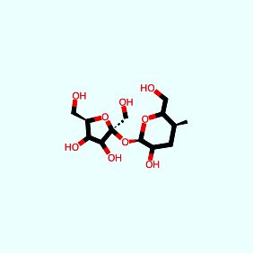 C[C@H]1CC(O)[C@@H](O[C@]2(CO)O[C@H](CO)C(O)C2O)OC1CO